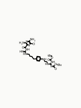 CC(C)(C)OC(=O)N=C(NCCNc1ccc(CCCCNC(=N)NC(=O)c2nc(Cl)c(N)nc2N)cc1)NC(=O)OC(C)(C)C